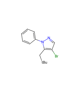 CC(C)(C)Cc1c(Br)cnn1-c1ccccc1